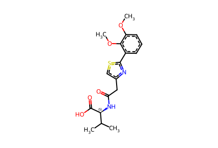 COc1cccc(-c2nc(CC(=O)N[C@H](C(=O)O)C(C)C)cs2)c1OC